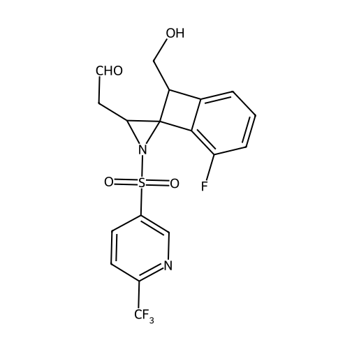 O=CCC1N(S(=O)(=O)c2ccc(C(F)(F)F)nc2)C12c1c(F)cccc1C2CO